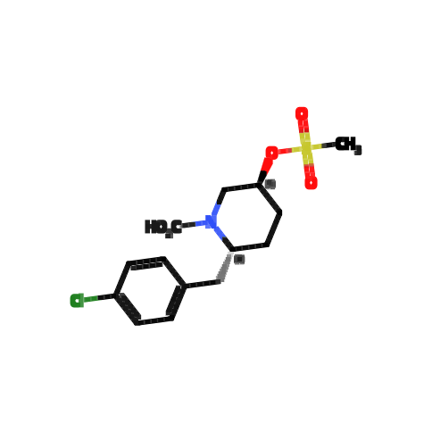 CS(=O)(=O)O[C@H]1CC[C@H](Cc2ccc(Cl)cc2)N(C(=O)O)C1